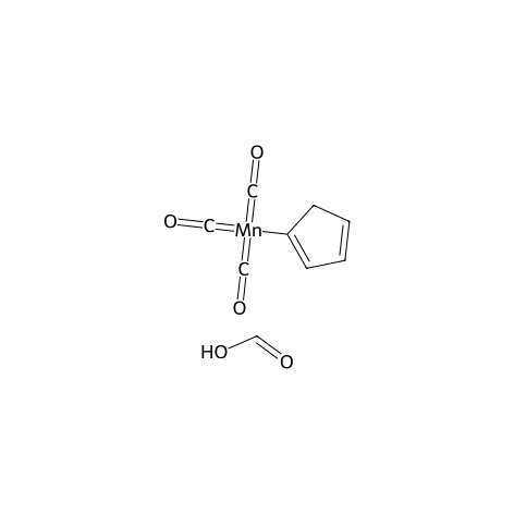 O=CO.O=[C]=[Mn](=[C]=O)(=[C]=O)[C]1=CC=CC1